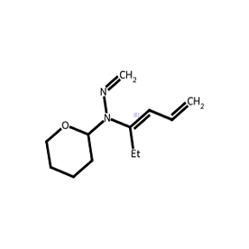 C=C/C=C(\CC)N(N=C)C1CCCCO1